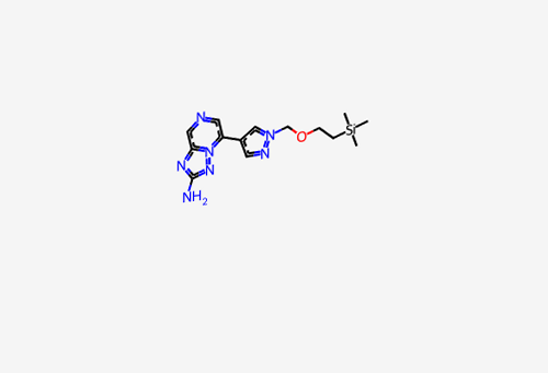 C[Si](C)(C)CCOCn1cc(-c2cncc3nc(N)nn23)cn1